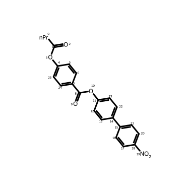 CCCC(=O)Oc1ccc(C(=O)Oc2ccc(-c3ccc([N+](=O)[O-])cc3)cc2)cc1